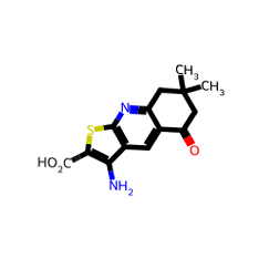 CC1(C)CC(=O)c2cc3c(N)c(C(=O)O)sc3nc2C1